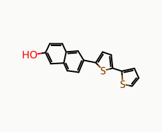 Oc1ccc2cc(-c3ccc(-c4cccs4)s3)ccc2c1